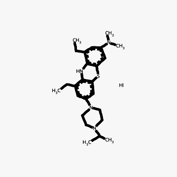 CCc1cc(N(C)C)cc2c1Nc1c(CC)cc(N3CCN(C(C)C)CC3)cc1S2.I